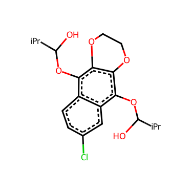 CC(C)C(O)Oc1c2c(c(OC(O)C(C)C)c3cc(Cl)ccc13)OCCO2